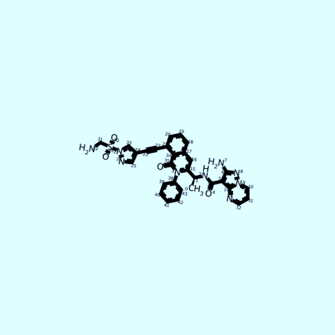 C[C@H](NC(=O)c1c(N)nn2cccnc12)c1cc2cccc(C#Cc3cnn(S(=O)(=O)CN)c3)c2c(=O)n1-c1ccccc1